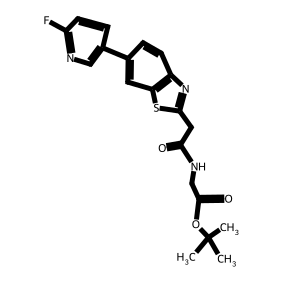 CC(C)(C)OC(=O)CNC(=O)Cc1nc2ccc(-c3ccc(F)nc3)cc2s1